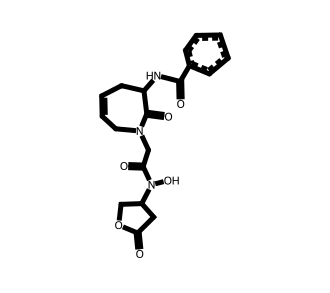 O=C1CC(N(O)C(=O)CN2CC=CCC(NC(=O)c3ccccc3)C2=O)CO1